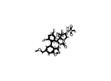 COCc1cc(-c2c(F)cc(F)cc2F)c2c(N3C[C@H]4N(C[C@@H](NS(C)(=O)=O)C4(F)F)C3=O)noc2c1